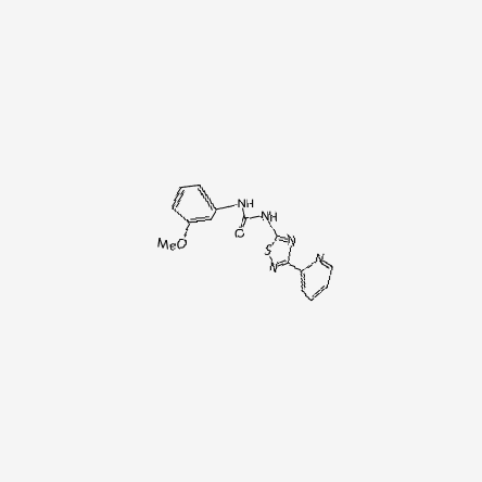 COc1cccc(NC(=O)Nc2nc(-c3ccccn3)ns2)c1